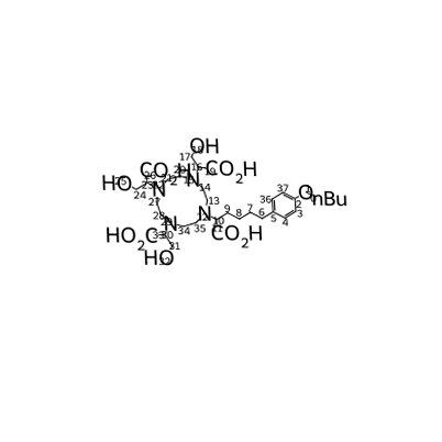 CCCCOc1ccc(CCCCC(C(=O)O)N2CCN(C(CO)C(=O)O)CCN(C(CO)C(=O)O)CCN(C(CO)C(=O)O)CC2)cc1